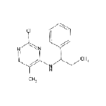 CCC(Nc1nc(Cl)ncc1C)c1ccccc1